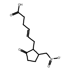 O=C(O)CC/C=C/CC1C(=O)CCC1C[N+](=O)[O-]